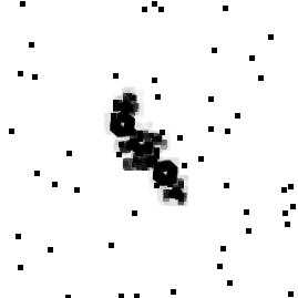 CCC(F)(F)c1cc(NC(=O)C(C)/C(C)=N\N(C=O)c2ccc(OC(F)F)cc2)ccn1